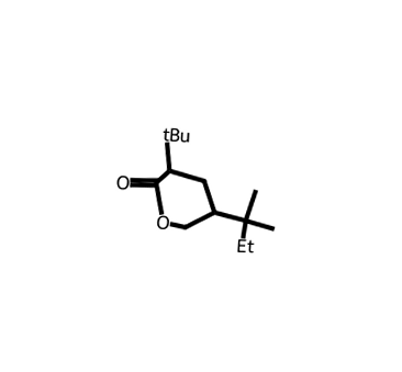 CCC(C)(C)C1COC(=O)C(C(C)(C)C)C1